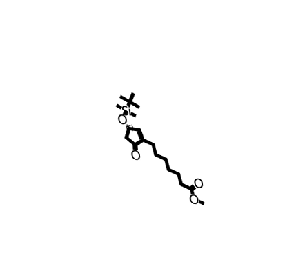 COC(=O)CCCCCCC1=C[C@@H](O[Si](C)(C)C(C)(C)C)CC1=O